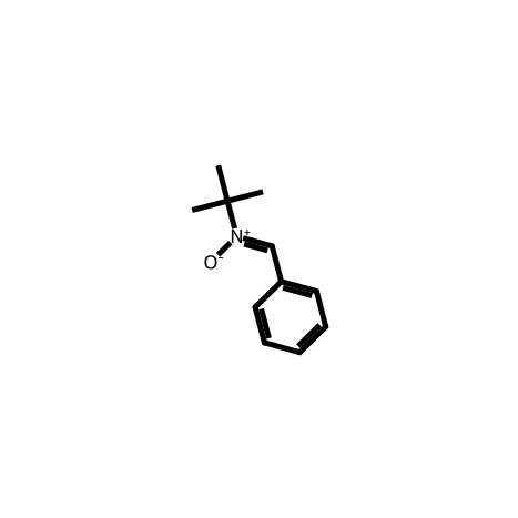 CC(C)(C)/[N+]([O-])=C/c1ccccc1